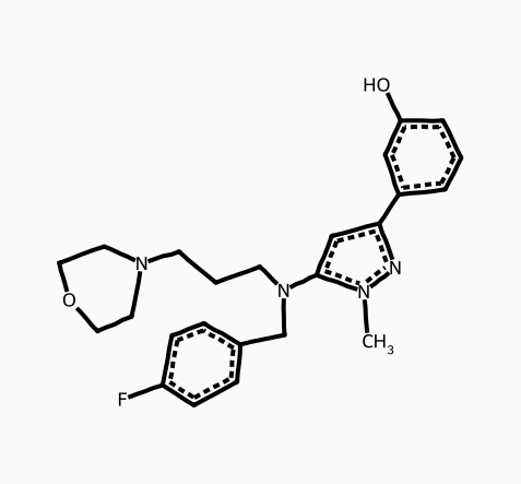 Cn1nc(-c2cccc(O)c2)cc1N(CCCN1CCOCC1)Cc1ccc(F)cc1